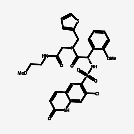 COCCNC(=O)CN(Cc1cccs1)C(=O)[C@@H](NS(=O)(=O)c1cc2ccc(=O)[nH]c2cc1Cl)c1ccccc1OC